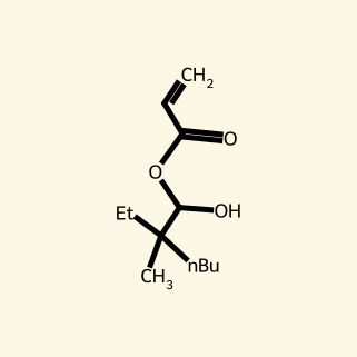 C=CC(=O)OC(O)C(C)(CC)CCCC